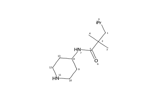 CC(C)CC(C)(C)C(=O)NC1CCNCC1